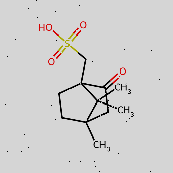 CC12CCC(CS(=O)(=O)O)(C(=O)C1)C2(C)C